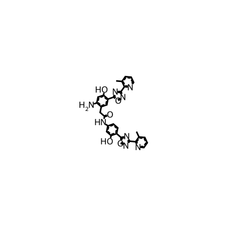 Cc1cccnc1-c1noc(-c2ccc(NC(=O)Cc3cc(-c4nc(-c5ncccc5C)no4)c(O)cc3N)cc2O)n1